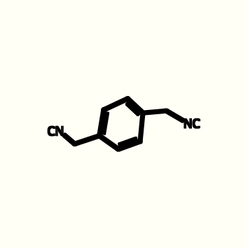 [C-]#[N+]Cc1ccc(C[N+]#[C-])cc1